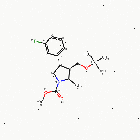 CC1[C@H](CO[Si](C)(C)C(C)(C)C)[C@@H](c2cccc(F)c2)CN1C(=O)OC(C)(C)C